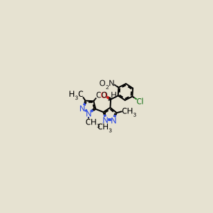 Cc1nn(C)c(-c2c(C(=O)c3cc(Cl)ccc3[N+](=O)[O-])c(C)nn2C)c1C(=O)O